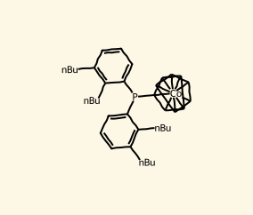 CCCCc1cccc(P(c2cccc(CCCC)c2CCCC)[C]23[CH]4[CH]5[CH]6[CH]2[Co]56432789[CH]3[CH]2[CH]7[CH]8[CH]39)c1CCCC